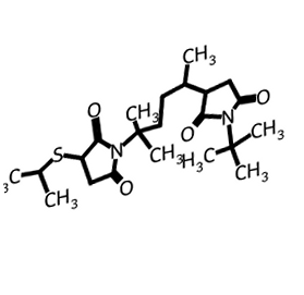 CC(C)SC1CC(=O)N(C(C)(C)CCC(C)C2CC(=O)N(C(C)(C)C)C2=O)C1=O